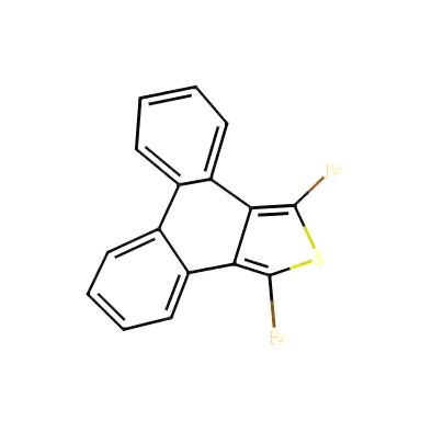 Brc1sc(Br)c2c3ccccc3c3ccccc3c12